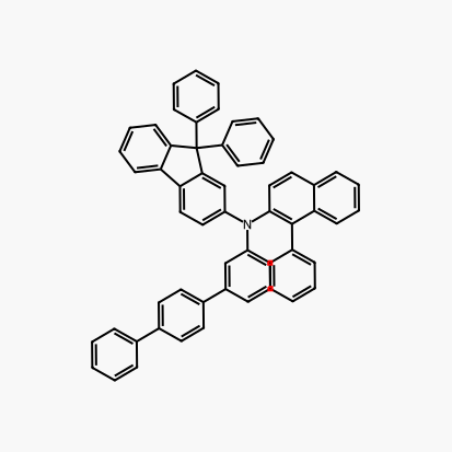 c1ccc(-c2ccc(-c3cccc(N(c4ccc5c(c4)C(c4ccccc4)(c4ccccc4)c4ccccc4-5)c4ccc5ccccc5c4-c4ccccc4)c3)cc2)cc1